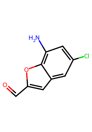 Nc1cc(Cl)cc2cc(C=O)oc12